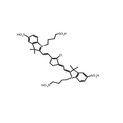 CC1(C)C(/C=C/C2=C(Cl)C(=C/C=C3/N(CCCCS(=O)(=O)O)c4ccc(S(=O)(=O)O)cc4C3(C)C)/CC2)=[N+](CCCCS(=O)(=O)O)c2ccc(S(=O)(=O)O)cc21